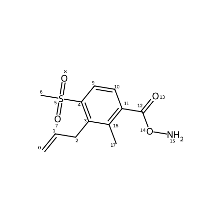 C=CCc1c(S(C)(=O)=O)ccc(C(=O)ON)c1C